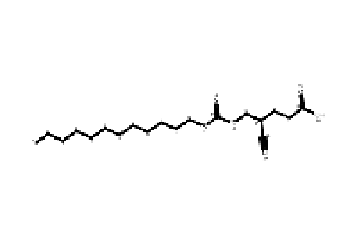 CCCCCCCCCCCCSC(=S)SCC(C#N)CCC(=O)O